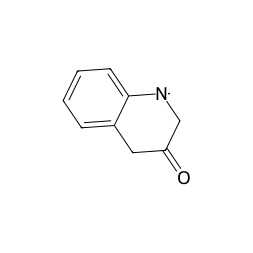 O=C1C[N]c2ccccc2C1